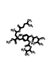 COC(=O)[C@](N)(Cc1ccc(OC(=O)O[C@@H](C)C(C)C)c(OC(=O)OC(C)C(C)C)c1)CC(C)OC(=O)CCC(C)C